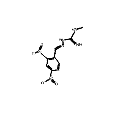 CNC(=N)NN=Cc1ccc([N+](=O)[O-])cc1[N+](=O)[O-]